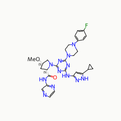 CO[C@H]1C[C@@H](C(=O)Nc2cnccn2)N(c2nc(Nc3cc(C4CC4)[nH]n3)nc(N3CCN(c4ccc(F)cc4)CC3)n2)C1